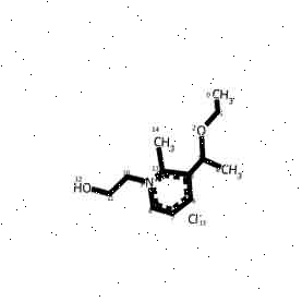 CCOC(C)c1ccc[n+](CCO)c1C.[Cl-]